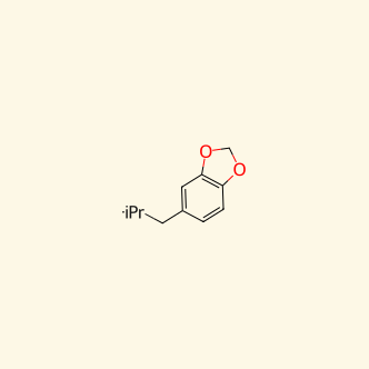 C[C](C)Cc1ccc2c(c1)OCO2